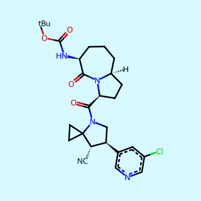 CC(C)(C)OC(=O)N[C@H]1CCC[C@H]2CC[C@@H](C(=O)N3C[C@@H](c4cncc(Cl)c4)[C@H](C#N)C34CC4)N2C1=O